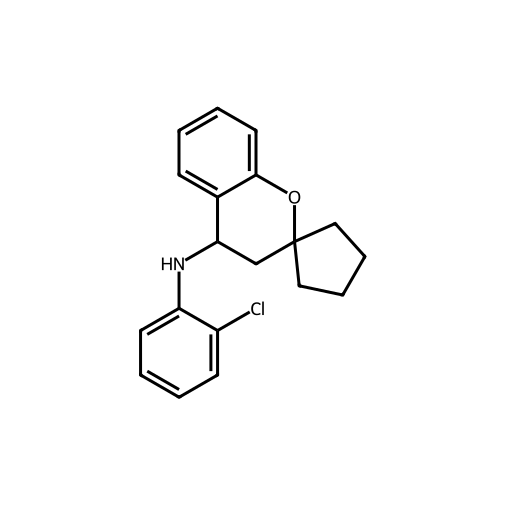 Clc1ccccc1NC1CC2(CCCC2)Oc2ccccc21